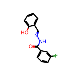 O=C(N/N=C/c1ccccc1O)c1cccc(F)c1